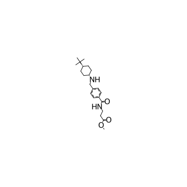 COC(=O)CCNC(=O)c1ccc(CN[C@H]2CC[C@H](C(C)(C)C)CC2)cc1